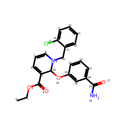 CCOC(=O)C1=CC=CN(Cc2ccccc2Cl)C1Oc1cccc(C(N)=O)c1